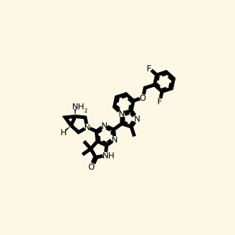 Cc1nc2c(OCc3c(F)cccc3F)cccn2c1-c1nc2c(c(N3C[C@H]4C[C@@]4(N)C3)n1)C(C)(C)C(=O)N2